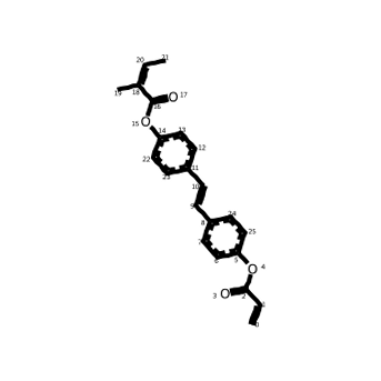 C=CC(=O)Oc1ccc(/C=C/c2ccc(OC(=O)/C(C)=C\C)cc2)cc1